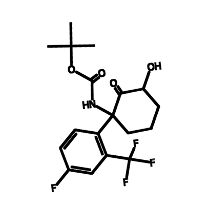 CC(C)(C)OC(=O)NC1(c2ccc(F)cc2C(F)(F)F)CCCC(O)C1=O